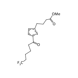 COC(=O)CCCc1ccc(C(=O)CCCCC(F)(F)F)s1